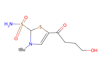 CC(C)(C)N1C=C(C(=O)CCCO)SC1S(N)(=O)=O